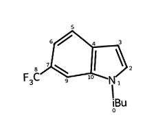 C[CH]C(C)n1ccc2ccc(C(F)(F)F)cc21